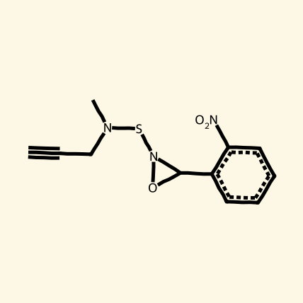 C#CCN(C)SN1OC1c1ccccc1[N+](=O)[O-]